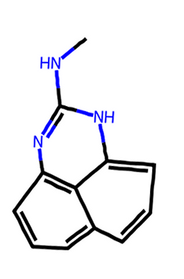 CNC1=Nc2cccc3cccc(c23)N1